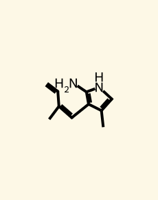 C=C/C(C)=C\c1c(C)c[nH]c1N